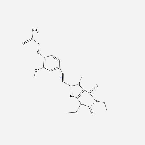 CCn1c(=O)c2c(nc(/C=C/c3ccc(OCC(N)=O)c(OC)c3)n2C)n(CC)c1=O